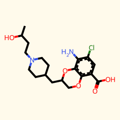 CC(O)CCN1CCC(CC2COc3c(C(=O)O)cc(Cl)c(N)c3O2)CC1